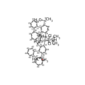 CC1=Cc2c(ccc(C(C)C)c2-c2ccccc2-c2ccccc2)[CH]1[Zr]([Cl])([Cl])([CH]1C(C)=Cc2c1ccc(C(C)C)c2-c1ccccc1-c1ccccc1)[SiH](C)C